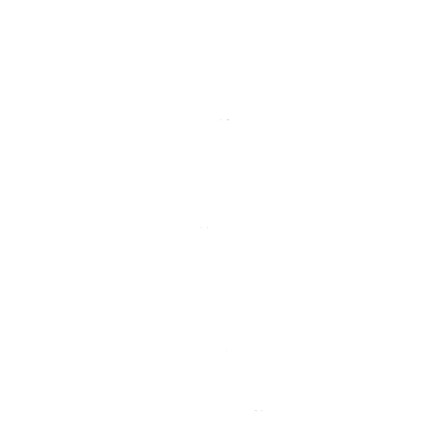 C=CCOCC(O)COCCOCCOCCOCCCCCCCCCCCC